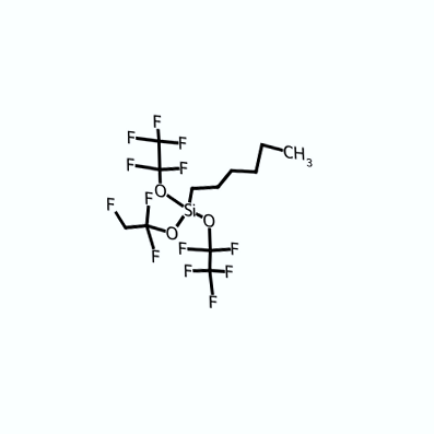 CCCCCC[Si](OC(F)(F)CF)(OC(F)(F)C(F)(F)F)OC(F)(F)C(F)(F)F